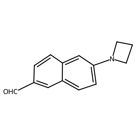 O=Cc1ccc2cc(N3CCC3)ccc2c1